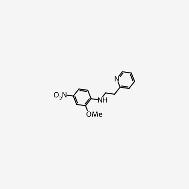 COc1cc([N+](=O)[O-])ccc1NCCc1ccccn1